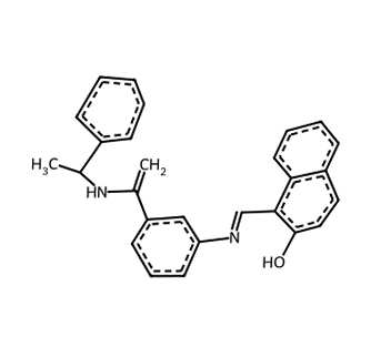 C=C(NC(C)c1ccccc1)c1cccc(/N=C/c2c(O)ccc3ccccc23)c1